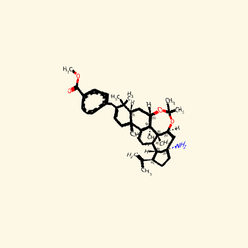 C=C(C)[C@@H]1CC[C@]2(N)C[C@@H]3OC(C)(C)O[C@H]4C[C@H]5C(C)(C)C(c6ccc(C(=O)OC)cc6)=CCC5(C)C5CC[C@H]([C@@H]12)[C@]3(C)[C@@]54C